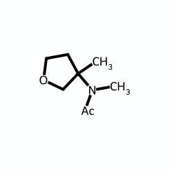 CC(=O)N(C)C1(C)CCOC1